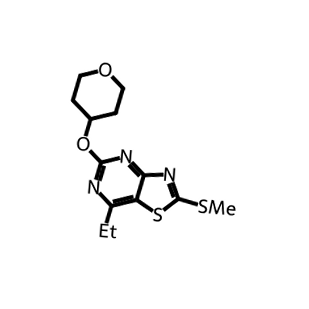 CCc1nc(OC2CCOCC2)nc2nc(SC)sc12